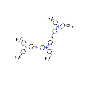 CCc1ccc(N(c2ccc(/C=C/c3ccc(N(c4ccc(C)cc4)c4ccc(C)cc4)cc3)cc2)c2ccc(/C=C/c3ccc(N(c4ccc(C)cc4)c4ccc(C)cc4)cc3)cc2)cc1